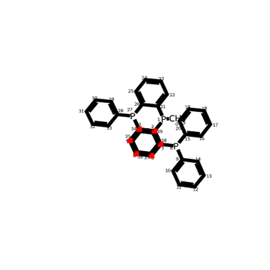 CP(c1ccccc1P(c1ccccc1)c1ccccc1)c1ccccc1P(c1ccccc1)c1ccccc1